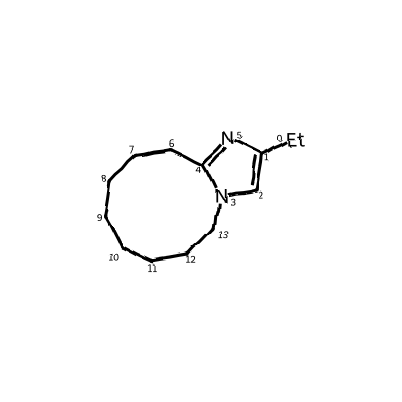 CCc1cn2c(n1)CCCCCCCC2